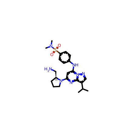 CC(C)c1cnn2c(Nc3ccc(S(=O)(=O)N(C)C)cc3)cc(N3CCC[C@H]3CN)nc12